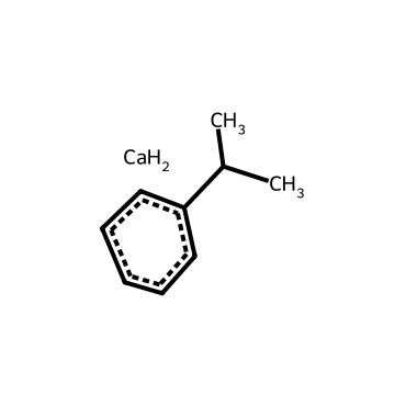 CC(C)c1ccccc1.[CaH2]